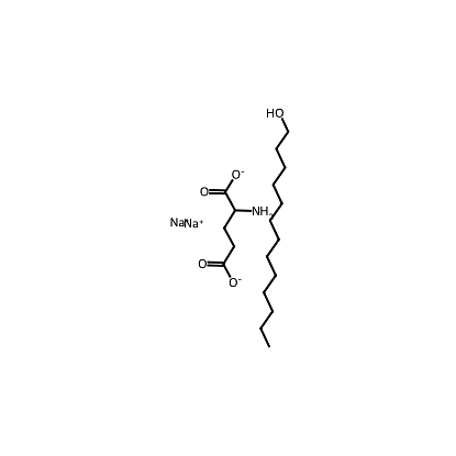 CCCCCCCCCCCCCO.NC(CCC(=O)[O-])C(=O)[O-].[Na+].[Na+]